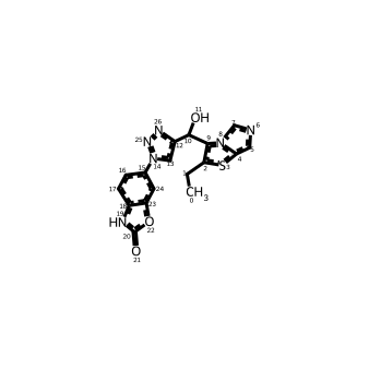 CCc1sc2cncn2c1C(O)c1cn(-c2ccc3[nH]c(=O)oc3c2)nn1